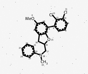 COc1cc2c(c(-c3cccc(Cl)c3Cl)c1)OC(CN(C)c1ccccc1)C2